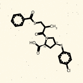 CC(CSC(=O)c1ccccc1)C(=O)N1C[C@@H](Sc2ccc(Cl)cc2)C[C@H]1C(=O)O